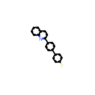 Fc1ccc(-c2ccc(-c3ccc4ccccc4n3)cc2)cc1